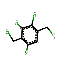 ClCc1cc(Cl)c(CCl)c(Cl)c1Cl